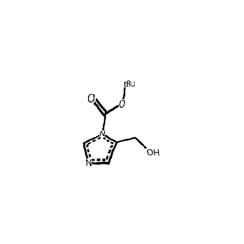 CC(C)(C)OC(=O)n1cncc1CO